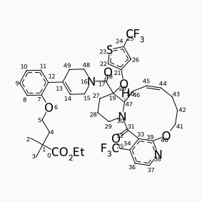 CCOC(=O)C(C)(C)CCOc1ccccc1C1=CCN(C(=O)C2(Oc3csc(C(F)(F)F)c3)CCCN3C(=O)c4c(C(F)(F)F)ccnc4OCCC/C=C\C[C@@H]32)CC1